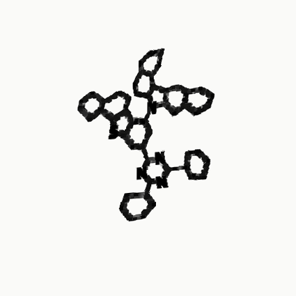 c1ccc(-c2nc(-c3ccccc3)nc(-c3cc(-n4c5cc6ccccc6cc5c5c6ccccc6ccc54)c4c(c3)sc3c5ccccc5ccc34)n2)cc1